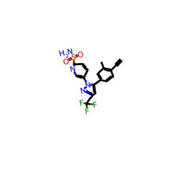 C#Cc1ccc(-c2cc(C(F)(F)F)nn2-c2ccc(S(N)(=O)=O)nc2)cc1C